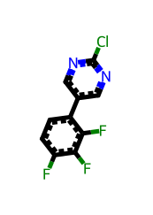 Fc1ccc(-c2cnc(Cl)nc2)c(F)c1F